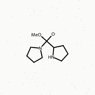 COC([O])(C1CCCN1)N1CCCC1